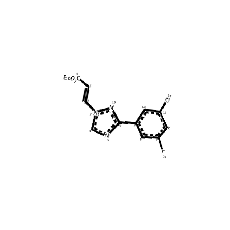 CCOC(=O)C=Cn1cnc(-c2cc(F)cc(Cl)c2)n1